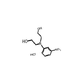 Cl.O=[N+]([O-])c1cccc(N(CCO)CCO)c1